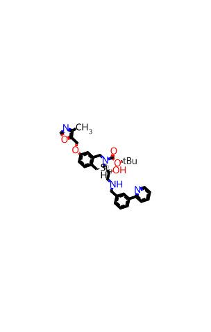 Cc1ncoc1COc1ccc2c(c1)CN(C(=O)OC(C)(C)C)[Si@H]([C@H](O)CNCc1cccc(-c3ccccn3)c1)C2